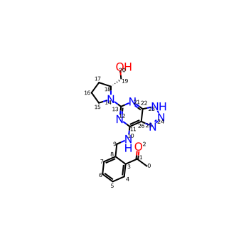 CC(=O)c1ccccc1CNc1nc(N2CCC[C@@H]2CO)nc2[nH]nnc12